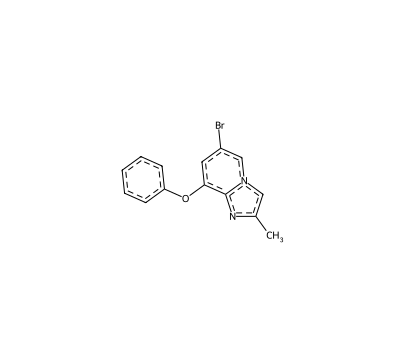 Cc1cn2cc(Br)cc(Oc3ccccc3)c2n1